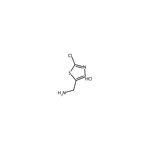 Cl.NCc1cnc(Cl)s1